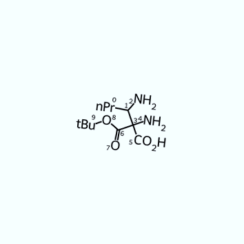 CCCC(N)C(N)(C(=O)O)C(=O)OC(C)(C)C